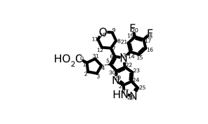 O=C(O)C1CC[C@@H](c2c(C3CCOCC3)n(-c3ccc(F)c(F)c3)c3cc4cn[nH]c4nc23)C1